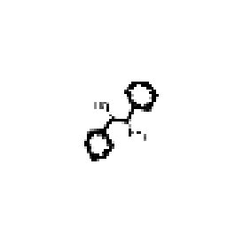 N[C@@H](c1ccccc1)[C@@H](O)c1ccccc1